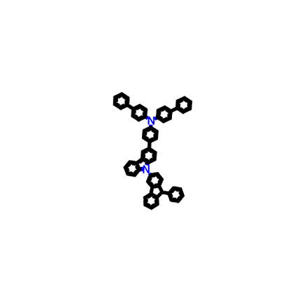 c1ccc(-c2ccc(N(c3ccc(-c4ccccc4)cc3)c3ccc(-c4ccc5c(c4)c4ccccc4n5-c4ccc5c(c4)-c4ccccc4C5c4ccccc4)cc3)cc2)cc1